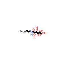 CCCCCCCCCCCCNC(=O)[C@H](O)[C@@H](O)[C@H](O)[C@H](O)CO